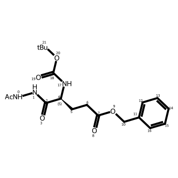 CC(=O)NNC(=O)[C@H](CCC(=O)OCc1ccccc1)NC(=O)OC(C)(C)C